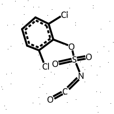 O=C=NS(=O)(=O)Oc1c(Cl)cccc1Cl